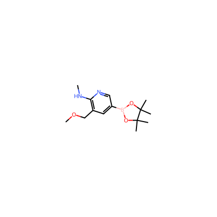 CNc1ncc(B2OC(C)(C)C(C)(C)O2)cc1COC